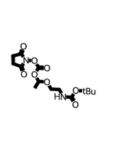 CC(OCCNC(=O)OC(C)(C)C)OC(=O)ON1C(=O)CCC1=O